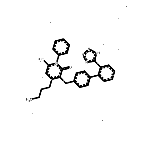 CCCCc1cc(C)n(-c2ccccc2)c(=O)c1Cc1ccc(-c2ccccc2-c2nnn[nH]2)cc1